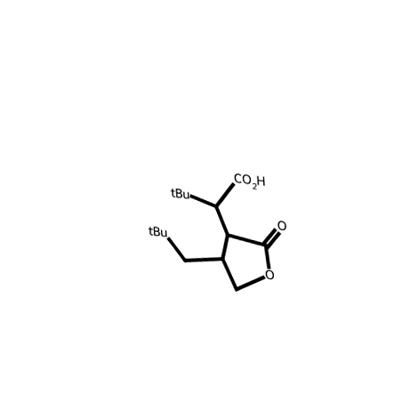 CC(C)(C)CC1COC(=O)C1C(C(=O)O)C(C)(C)C